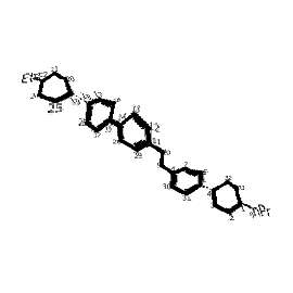 CCC[C@H]1CC[C@H](c2ccc(CCc3ccc(-c4ccc([C@H]5CC[C@H](CC)CC5)cc4)cc3)cc2)CC1